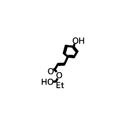 CCC(O)OC(=O)C=Cc1ccc(O)cc1